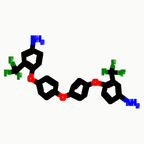 Nc1ccc(Oc2ccc(Oc3ccc(Oc4ccc(N)cc4C(F)(F)F)cc3)cc2)c(C(F)(F)F)c1